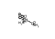 NC(=O)OCCCCSc1nc(N)nc(-c2c(Cl)cc3c4c(cccc24)COC3)n1